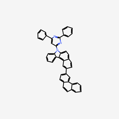 c1ccc(-c2cc(-n3c4ccccc4c4c5cc(-c6ccc7ccc8ccccc8c7c6)ccc5ccc43)nc(-c3ccccc3)n2)cc1